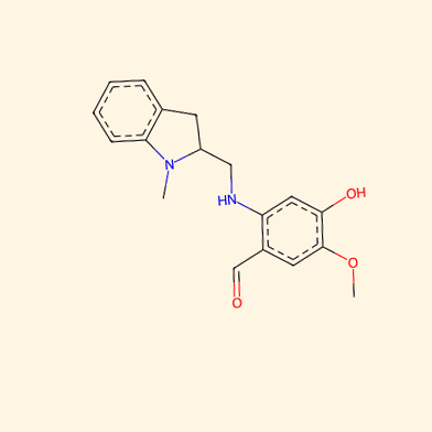 COc1cc(C=O)c(NCC2Cc3ccccc3N2C)cc1O